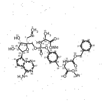 C=NC[C@]1(COP(=O)(N[C@@H](C)C(=O)OC)Oc2ccc(C[C@H](NC(=O)OCc3ccccc3)C(=O)OC(C)C)cc2)O[C@@H](c2ccc3c(N)ncnn23)[C@H](O)[C@@H]1O